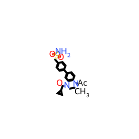 CC(=O)N1c2ccc(-c3ccc(CS(N)(=O)=O)cc3)cc2N(C(=O)C2CC2)C[C@@H]1C